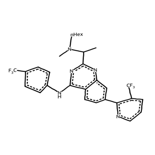 CCCCCCN(C)C(C)c1nc(Nc2ccc(C(F)(F)F)cc2)c2ccc(-c3ncccc3C(F)(F)F)cc2n1